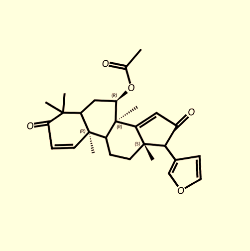 CC(=O)O[C@@H]1CC2C(C)(C)C(=O)C=C[C@]2(C)C2CC[C@]3(C)C(=CC(=O)C3c3ccoc3)[C@@]21C